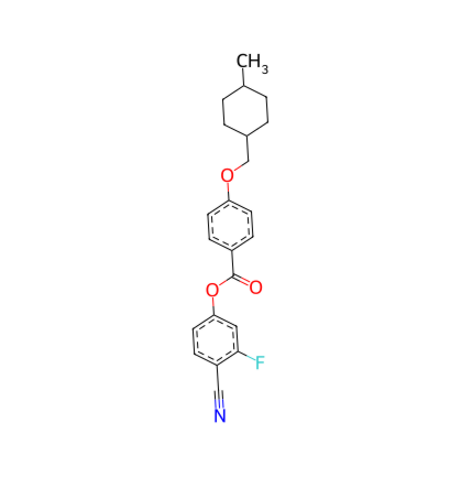 CC1CCC(COc2ccc(C(=O)Oc3ccc(C#N)c(F)c3)cc2)CC1